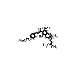 COCOc1ccc(/C=C/C(=O)c2c(OC)cc3c(c2O)C=CC(C)(CCC=C(C)C)O3)cc1